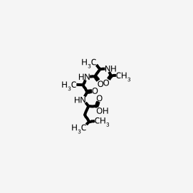 CC(=O)NC(C)C(=O)NC(C)C(=O)NC(CC(C)C)C(=O)O